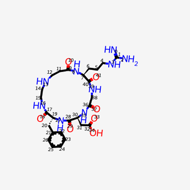 N=C(N)NCCC[C@@H]1NC(=O)CCNCCNC(=O)[C@@H](Cc2ccccc2)NC(=O)[C@H](CC(=O)O)NC(=O)CNC1=O